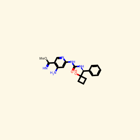 COC(=N)c1cnc(NC(=O)N[C@@H](c2ccccc2)C2(O)CCC2)cc1N